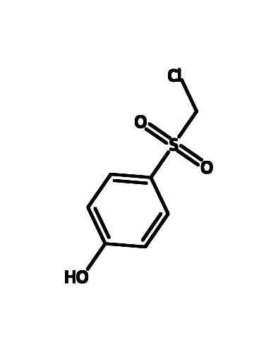 O=S(=O)(CCl)c1ccc(O)cc1